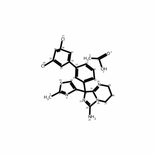 CC(=O)O.Cc1nc(C2(c3cccc(-c4cc(Cl)cc(Cl)c4)c3)N=C(N)N3CCCN=C32)cs1